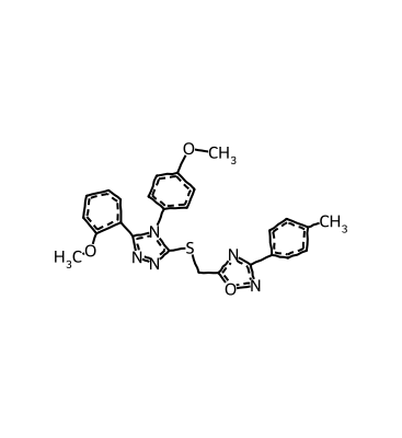 COc1ccc(-n2c(SCc3nc(-c4ccc(C)cc4)no3)nnc2-c2ccccc2OC)cc1